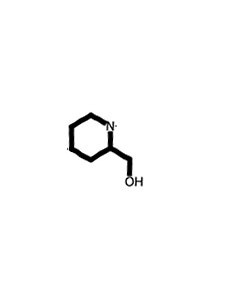 OCC1C[CH]CC[N]1